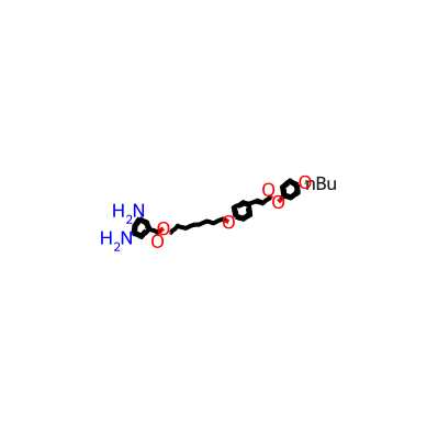 CCCCOc1ccc(OC(=O)C=Cc2ccc(OCCCCCCCCOC(=O)c3cc(N)cc(N)c3)cc2)cc1